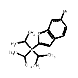 CC(C)S(c1cc2ccc(Br)cc2s1)(C(C)C)C(C)C